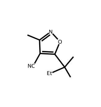 CCC(C)(C)c1onc(C)c1C#N